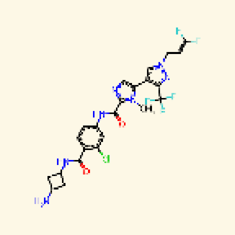 Cn1c(-c2cn(CC=C(F)F)nc2C(F)(F)F)cnc1C(=O)Nc1ccc(C(=O)NC2CC(N)C2)c(Cl)c1